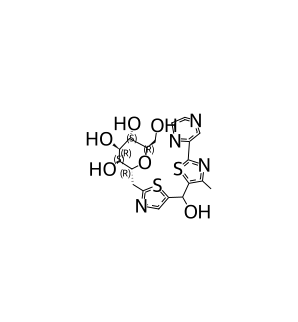 Cc1nc(-c2cnccn2)sc1C(O)c1cnc(C[C@H]2O[C@H](CO)[C@@H](O)[C@H](O)[C@@H]2O)s1